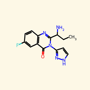 CCC(N)c1nc2ccc(F)cc2c(=O)n1-c1cc[nH]n1